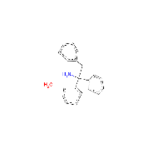 NC(Cc1ccccc1)(c1ccccc1)c1ccccc1.O